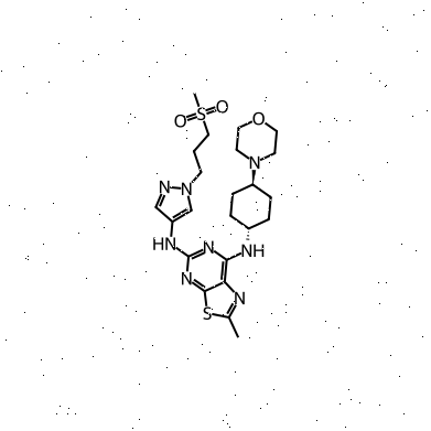 Cc1nc2c(N[C@H]3CC[C@H](N4CCOCC4)CC3)nc(Nc3cnn(CCCS(C)(=O)=O)c3)nc2s1